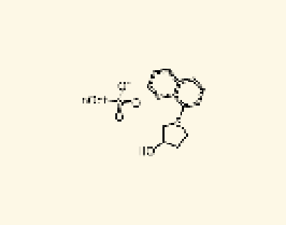 CCCCCCCCS(=O)(=O)[O-].OC1CC[S+](c2cccc3ccccc23)C1